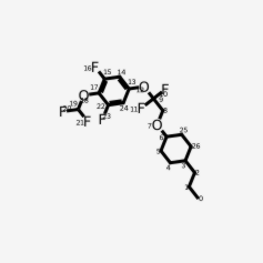 CCCC1CCC(OCC(F)(F)Oc2cc(F)c(OC(F)F)c(F)c2)CC1